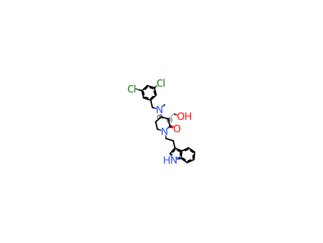 CN(Cc1cc(Cl)cc(Cl)c1)[C@H]1CCN(CCc2c[nH]c3ccccc23)C(=O)[C@H]1CO